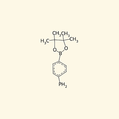 CC1(C)OB(c2ccc(P)cc2)OC1(C)C